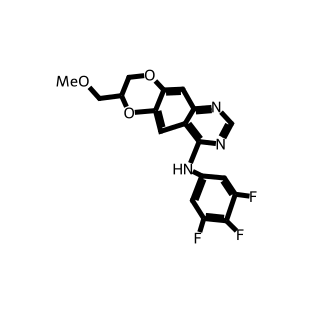 COCC1COc2cc3ncnc(Nc4cc(F)c(F)c(F)c4)c3cc2O1